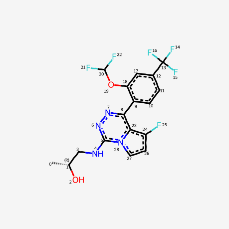 C[C@@H](O)CNc1nnc(-c2ccc(C(F)(F)F)cc2OC(F)F)c2c(F)ccn12